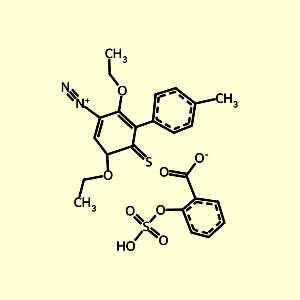 CCOC1=C(c2ccc(C)cc2)C(=S)C(OCC)C=C1[N+]#N.O=C([O-])c1ccccc1OS(=O)(=O)O